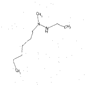 CCCCCCN(C)NCC